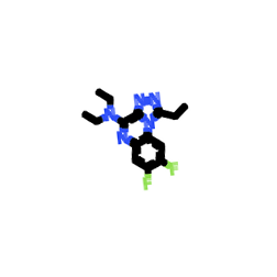 CCc1nnc2c(N(CC)CC)nc3cc(F)c(F)cc3n12